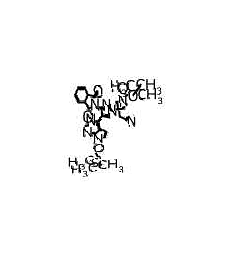 CC(C)(C)OC(=O)N1CC(CC#N)(n2cc(-c3ncnc4c3ccn4COCC[Si](C)(C)C)c(N3C(=O)C4C=CC=CC4C3=O)n2)C1